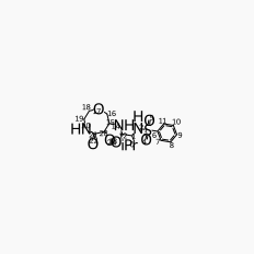 CC(C)C(NS(=O)(=O)c1ccccc1)C(=O)NC1COCCNC(=O)C1=O